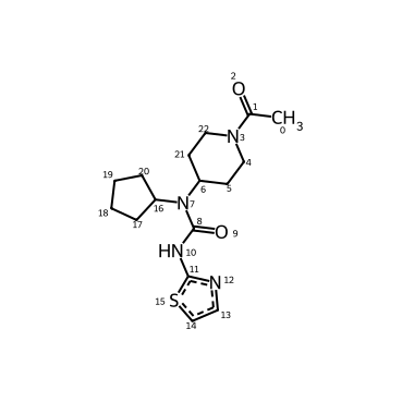 CC(=O)N1CCC(N(C(=O)Nc2nccs2)C2CCCC2)CC1